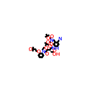 COC(C)(C)CCOc1ccccc1N1CCO[C@H]([C@@H](CC(=O)O)C(=O)Nc2ccc(C#N)c(CN(C(=O)OC(C)(C)C)C(=O)OC(C)(C)C)c2)C1=O